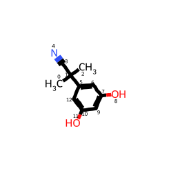 CC(C)(C#N)c1cc(O)cc(O)c1